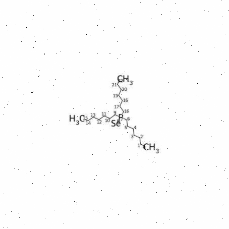 CCCCCCCP(=[Se])(CCCCCCC)CCCCCCC